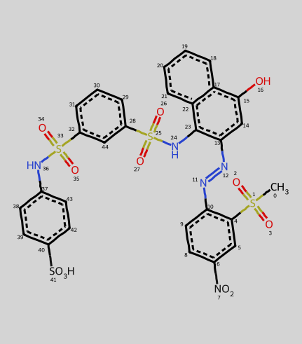 CS(=O)(=O)c1cc([N+](=O)[O-])ccc1N=Nc1cc(O)c2ccccc2c1NS(=O)(=O)c1cccc(S(=O)(=O)Nc2ccc(S(=O)(=O)O)cc2)c1